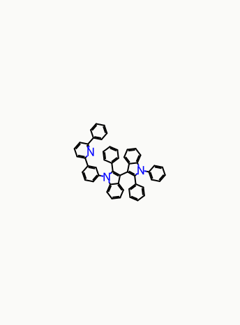 c1ccc(-c2cccc(-c3cccc(-n4c(-c5ccccc5)c(-c5c(-c6ccccc6)n(-c6ccccc6)c6ccccc56)c5ccccc54)c3)n2)cc1